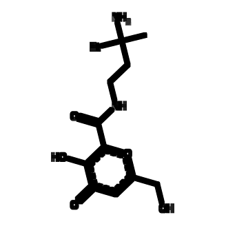 CCC(C)(N)CCNC(=O)c1oc(CO)cc(=O)c1O